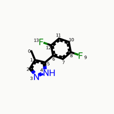 Cc1cn[nH]c1-c1cc(F)ccc1F